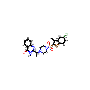 Cc1c(S(=O)(=O)N2CCN(C(C)c3nc4ccccc4c(=O)n3C)CC2)sc2ccc(Cl)cc12